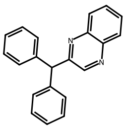 c1ccc(C(c2ccccc2)c2cnc3ccccc3n2)cc1